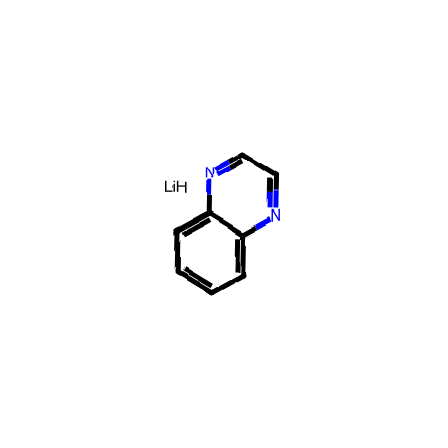 [LiH].c1ccc2nccnc2c1